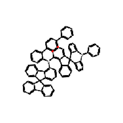 c1ccc(-c2ccc(-c3ccccc3N(c3cccc4c3-c3ccccc3C43c4ccccc4-c4ccccc43)c3cccc4c3-c3ccccc3C43c4ccccc4N(c4ccccc4)c4ccccc43)cc2)cc1